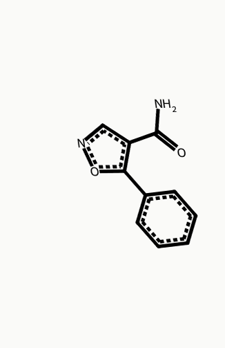 NC(=O)c1cnoc1-c1ccccc1